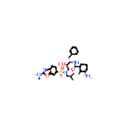 CNc1nc2ccc(S(=O)(=O)N(CC(C)C)C[C@@H](O)[C@H](Cc3ccccc3)NC(=O)c3cccc(N)c3C)cc2o1